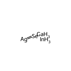 [GaH3].[InH3].[Se]=[Ag]